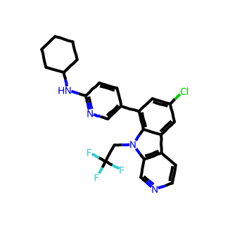 FC(F)(F)Cn1c2cnccc2c2cc(Cl)cc(-c3ccc(NC4CCCCC4)nc3)c21